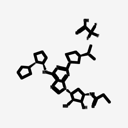 CCC(=O)N[C@H]1C[C@@H](n2cnc3c(N[C@H]4CCC[C@H]4C4CCCC4)nc(N4CC[C@@H](N(C)C)C4)nc32)[C@H](O)[C@@H]1O.O=C(O)C(F)(F)F